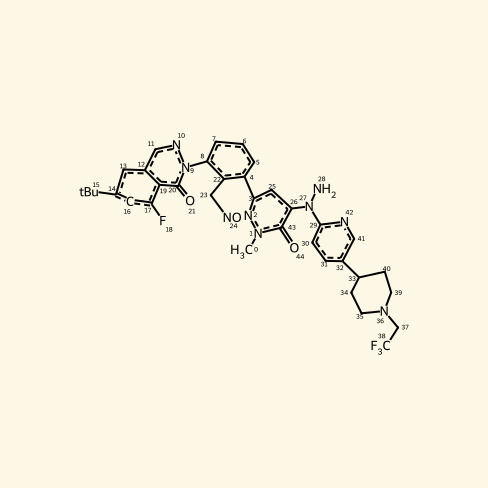 Cn1nc(-c2cccc(-n3ncc4cc(C(C)(C)C)cc(F)c4c3=O)c2CN=O)cc(N(N)c2ccc(C3CCN(CC(F)(F)F)CC3)cn2)c1=O